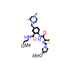 COCCNC(=O)c1cc(CN2CCN(C)C[C@H]2C)ccc1NC(=O)c1csc(N2CC[C@H](OC)C2)n1